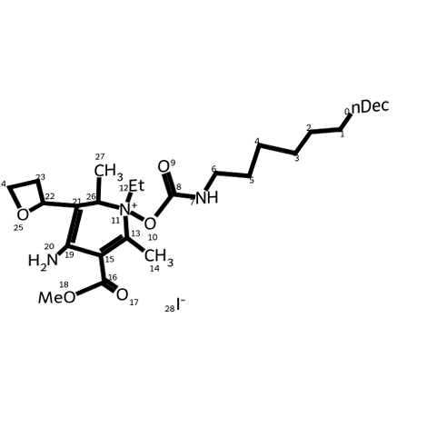 CCCCCCCCCCCCCCCCNC(=O)O[N+]1(CC)C(C)=C(C(=O)OC)C(N)=C(C2CCO2)C1C.[I-]